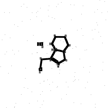 Cl.ClCC1=NCC2CCCCN12